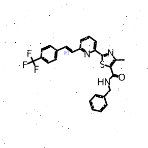 Cc1nc(-c2cccc(/C=C/c3ccc(C(F)(F)F)cc3)n2)sc1C(=O)NCc1ccccc1